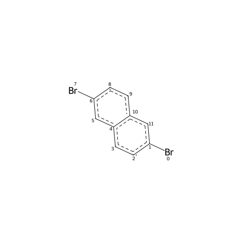 Brc1[c]cc2cc(Br)[c]cc2c1